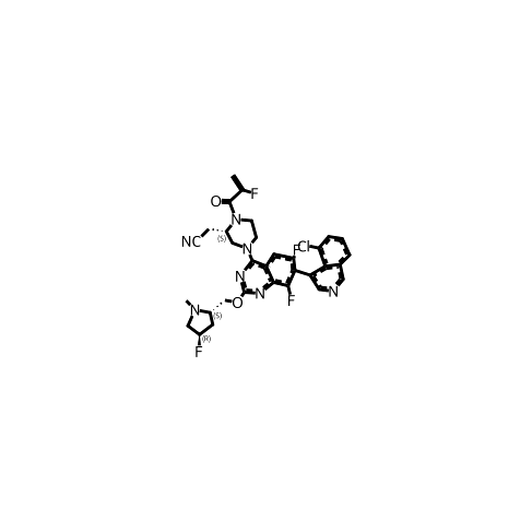 C=C(F)C(=O)N1CCN(c2nc(OC[C@@H]3C[C@@H](F)CN3C)nc3c(F)c(-c4cncc5cccc(Cl)c45)c(F)cc23)C[C@@H]1CC#N